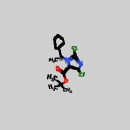 C[C@H](c1ccccc1)n1c(Cl)nc(Cl)c1C(=O)OC(C)(C)C